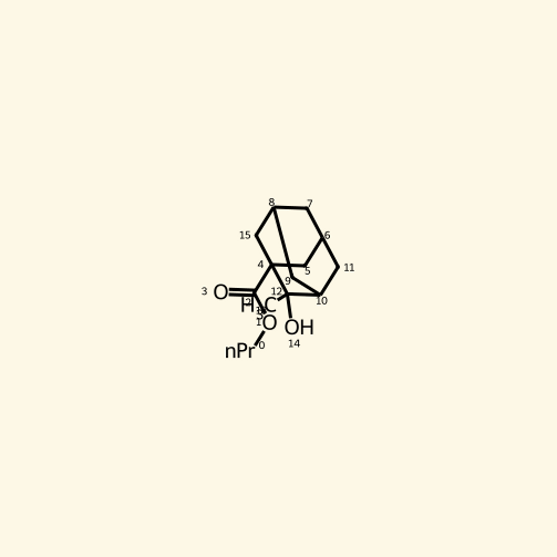 CCCOC(=O)C12CC3CC(CC(C3)C1(C)O)C2